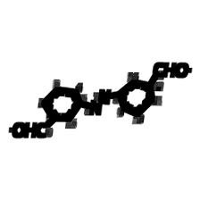 O=[C]c1cccc(/N=N/c2cccc([C]=O)c2)c1